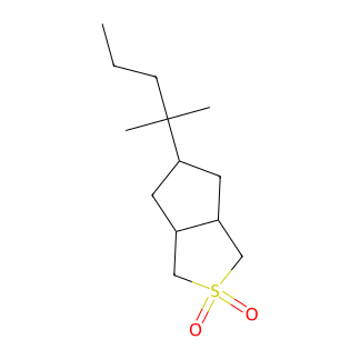 CCCC(C)(C)C1CC2CS(=O)(=O)CC2C1